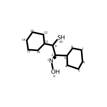 O/N=C(\C1CCCCC1)C(S)C1CCCCC1